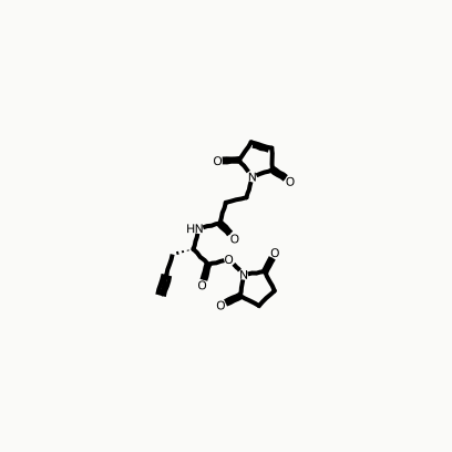 C#CC[C@H](NC(=O)CCN1C(=O)C=CC1=O)C(=O)ON1C(=O)CCC1=O